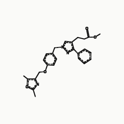 COC(=O)CCc1cn(Cc2ccc(OCc3nc(C)oc3C)cc2)nc1-c1ccccc1